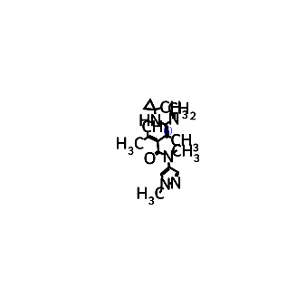 C=N/C(NC1(C)CC1)=C(\C)C(C(=O)N(C)c1cnn(C)c1)=C(C)C